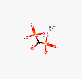 O=P([O-])([O-])C(O)P(=O)([O-])[O-].[Pt+4]